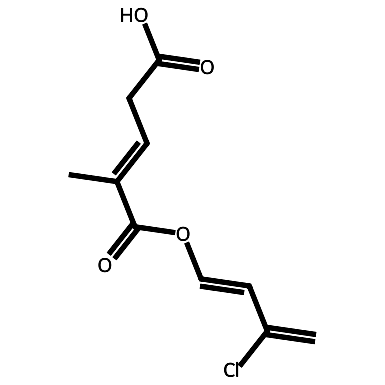 C=C(Cl)C=COC(=O)C(C)=CCC(=O)O